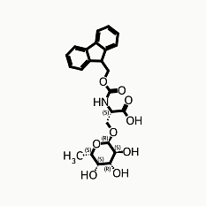 C[C@@H]1O[C@@H](OC[C@H](NC(=O)OCC2c3ccccc3-c3ccccc32)C(=O)O)[C@@H](O)[C@H](O)[C@@H]1O